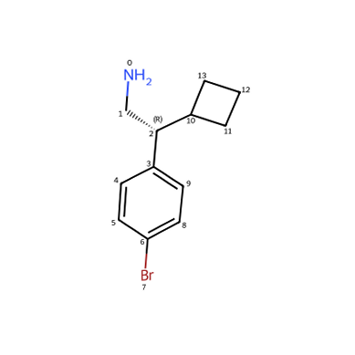 NC[C@@H](c1ccc(Br)cc1)C1CCC1